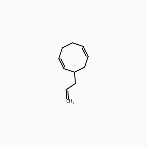 C=CCC1/C=C\CC/C=C\C1